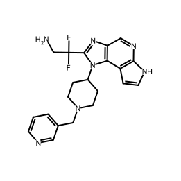 NCC(F)(F)c1nc2cnc3[nH]ccc3c2n1C1CCN(Cc2cccnc2)CC1